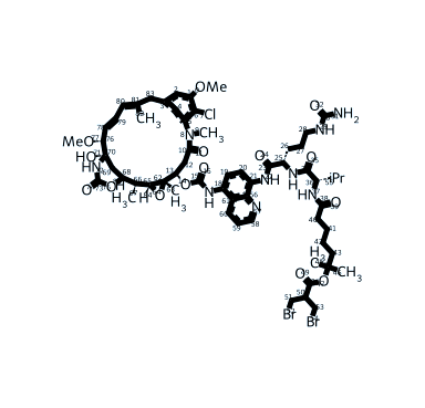 COc1cc2cc(c1Cl)N(C)C(=O)C[C@H](OC(=O)Nc1ccc(NC(=O)[C@H](CCCNC(N)=O)NC(=O)[C@@H](NC(=O)CCCCC(C)(C)OC(=O)C(CBr)CBr)C(C)C)c3ncccc13)[C@]1(C)O[C@H]1[C@H](C)[C@@H]1C[C@@](O)(NC(=O)O1)[C@H](OC)/C=C/C=C(\C)C2